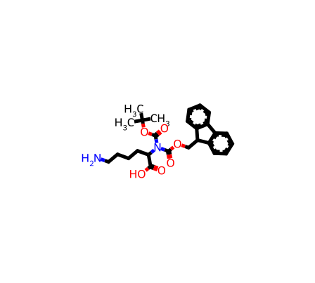 CC(C)(C)OC(=O)N(C(=O)OCC1c2ccccc2-c2ccccc21)C(CCCCN)C(=O)O